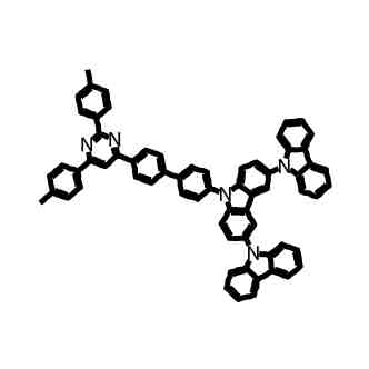 Cc1ccc(-c2cc(-c3ccc(-c4ccc(-n5c6ccc(-n7c8ccccc8c8ccccc87)cc6c6cc(-n7c8ccccc8c8ccccc87)ccc65)cc4)cc3)nc(-c3ccc(C)cc3)n2)cc1